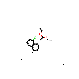 CCOC(C)OCC.Clc1cccc2ccccc12